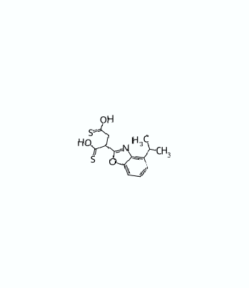 CC(C)c1cccc2oc(C(CC(O)=S)C(O)=S)nc12